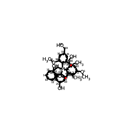 COc1cc(CO)c([PH](Cc2ccccc2)(c2c(CO)cc(O)cc2OC)c2c(OC)cc(CO)cc2OC)c(CO)c1